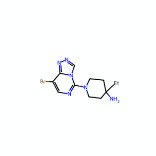 CCC1(N)CCN(c2ncc(Br)c3nncn23)CC1